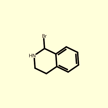 BrC1NCCc2ccccc21